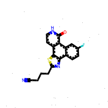 N#CCCCc1nc2c3ccc(F)cc3c3c(=O)[nH]ccc3c2s1